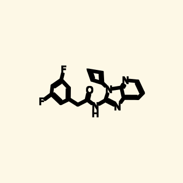 O=C(Cc1cc(F)cc(F)c1)Nc1nc2cccnc2n1C1=CC=C1